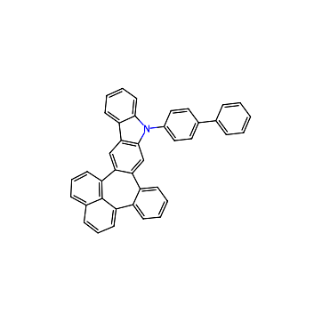 c1ccc(-c2ccc(-n3c4ccccc4c4cc5c(cc43)-c3ccccc3-c3cccc4cccc-5c34)cc2)cc1